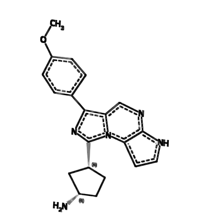 COc1ccc(-c2nc([C@@H]3CC[C@H](N)C3)n3c2cnc2[nH]ccc23)cc1